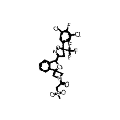 CS(=O)(=O)CC(=O)N1CC2(C1)OC(C1=NO[C@@](c3cc(Cl)c(F)c(Cl)c3)(C(F)(F)F)C1)c1ccccc12